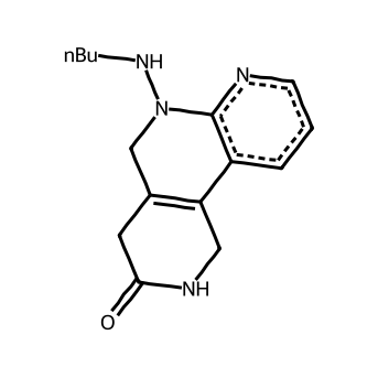 CCCCNN1CC2=C(CNC(=O)C2)c2cccnc21